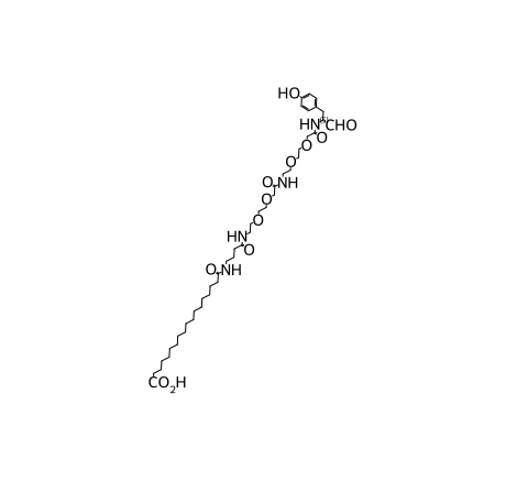 O=C[C@H](Cc1ccc(O)cc1)NC(=O)COCCOCCNC(=O)COCCOCCNC(=O)CCCNC(=O)CCCCCCCCCCCCCCCCC(=O)O